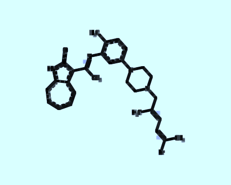 C/C(Br)=C\C=C(/C)CN1CCN(c2ccc(C)c(/N=C(\C)c3c4cccccc-4[nH]c3=O)c2)CC1